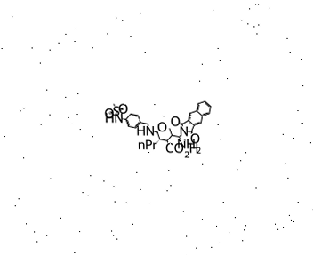 CCC[C@H](C(=O)NCc1ccc(NS(C)(=O)=O)cc1)[C@H](C(=O)O)C(C)C(N)N1C(=O)c2cc3ccccc3cc2C1=O